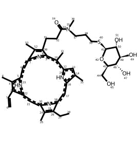 C=Cc1c(C)c2cc3nc(c(C)c4cc(C)c(cc5nc(cc1[nH]2)C(C)=C5CC)[nH]4)C(CCC(=O)N(C)CCCS[C@@H]1O[C@H](CO)[C@@H](O)[C@H](O)[C@H]1O)=C3C